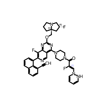 C#Cc1cccc2cccc(-c3ncc4c(N5CCN(C(=O)/C(F)=C/N6C=CC=CN6)CC5)nc(OC[C@@]56CCCN5C[C@H](F)C6)nc4c3F)c12